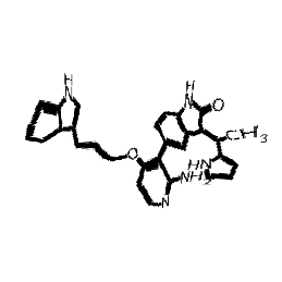 CC(=C1C(=O)Nc2ccc(-c3c(OCCCc4c[nH]c5ccccc45)ccnc3N)cc21)c1ccc[nH]1